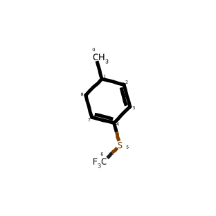 CC1C=CC(SC(F)(F)F)=CC1